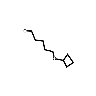 [O]CCCCCOC1CCC1